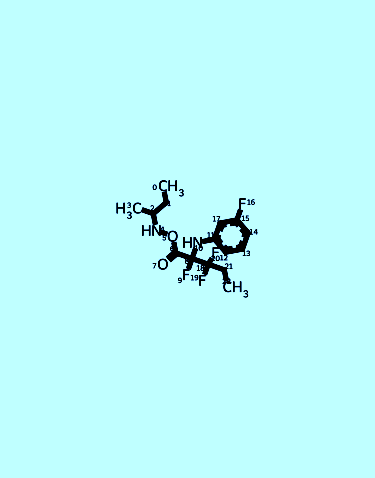 CCC(C)NOC(=O)C(F)(Nc1cccc(F)c1)C(F)(F)CC